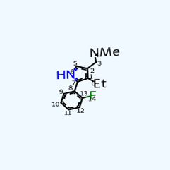 CCc1c(CNC)c[nH]c1-c1ccccc1F